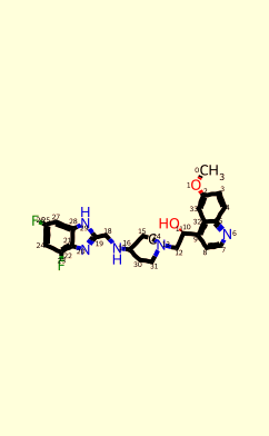 COc1ccc2nccc([C@@H](O)CN3CCC(NCc4nc5c(F)cc(F)cc5[nH]4)CC3)c2c1